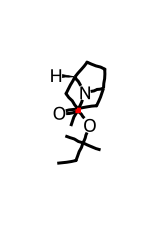 CCC(C)(C)OC(=O)N1C2CC[C@H]1CC(C)C2